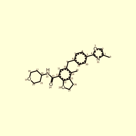 Cc1coc(-c2ccc(Cc3cc(C(=O)NC4CCOCC4)c4c(c3C)CCO4)cc2)n1